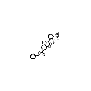 COc1c(C(=O)NC2CCN(C(=O)OCc3ccccc3)CC2=O)cccc1[N+](=O)[O-]